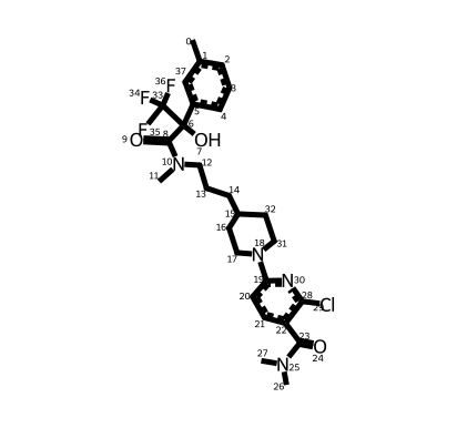 Cc1cccc(C(O)(C(=O)N(C)CCCC2CCN(c3ccc(C(=O)N(C)C)c(Cl)n3)CC2)C(F)(F)F)c1